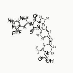 CCC1CC(Oc2ccc(N3C(=S)N(c4cnc(C#N)c(C(F)(F)F)c4)C(=O)C34CCC4)cc2)CCN1C(=O)O